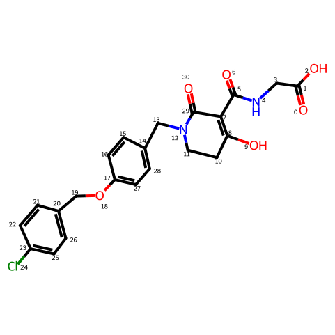 O=C(O)CNC(=O)C1=C(O)CCN(Cc2ccc(OCc3ccc(Cl)cc3)cc2)C1=O